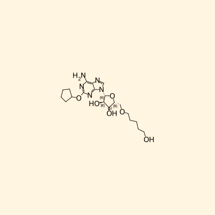 Nc1nc(OC2CCCC2)nc2c1ncn2[C@@H]1O[C@H](COCCCCCO)[C@@H](O)[C@H]1O